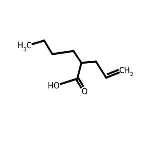 C=CCC(CCCC)C(=O)O